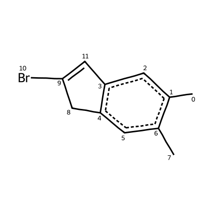 Cc1cc2c(cc1C)CC(Br)=C2